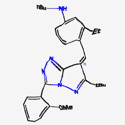 CCCCNc1ccc(/C=c2/c(C(C)(C)C)nn3c(-c4ccccc4OC)nnc23)c(CC)c1